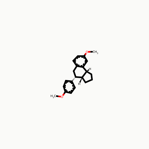 COc1ccc([C@@H]2Cc3ccc(OC)cc3[C@@H]3CCC[C@H]23)cc1